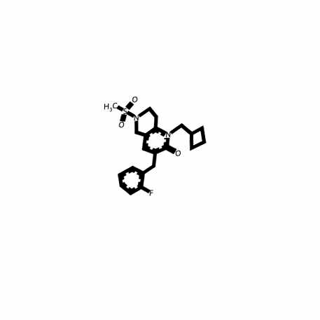 CS(=O)(=O)N1CCc2c(cc(Cc3ccccc3F)c(=O)n2CC2CCC2)C1